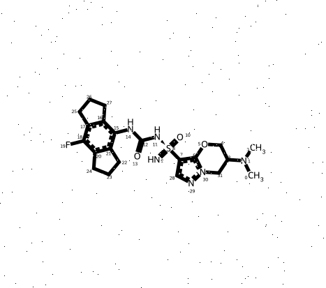 CN(C)C1COc2c([S@@](=N)(=O)NC(=O)Nc3c4c(c(F)c5c3CCC5)CCC4)cnn2C1